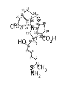 CC(CC/C=C/C(O)C1CCC1CN1CC2(CCCc3cc(Cl)ccc32)COc2ccc(C(=O)O)cc21)SN